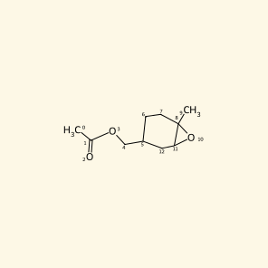 CC(=O)OCC1CCC2(C)OC2C1